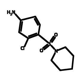 Nc1ccc(S(=O)(=O)N2CCCCC2)c(Cl)c1